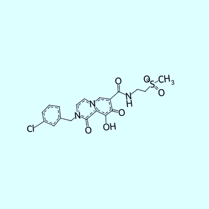 CS(=O)(=O)CCNC(=O)c1cn2ccn(Cc3cccc(Cl)c3)c(=O)c2c(O)c1=O